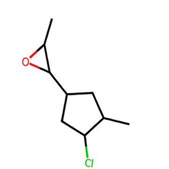 CC1CC(C2OC2C)CC1Cl